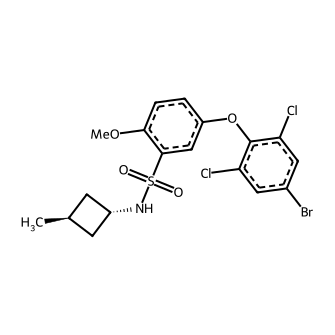 COc1ccc(Oc2c(Cl)cc(Br)cc2Cl)cc1S(=O)(=O)N[C@H]1C[C@H](C)C1